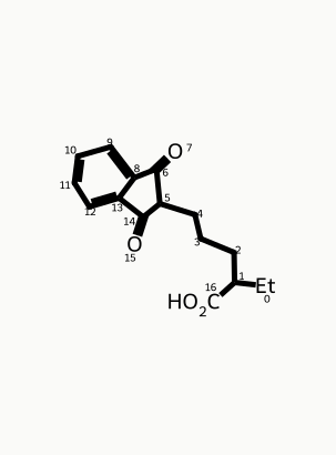 CCC(CCCC1C(=O)c2ccccc2C1=O)C(=O)O